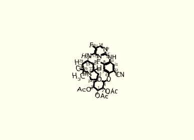 CC(=O)O[C@H]1[C@H](OC(C)=O)C(Oc2cc(F)c(Nc3ncc(F)c(N[C@@H]4C[C@@H]5CCCN5C(C)(C)C4)n3)cc2C#N)OC[C@H]1OC(C)=O